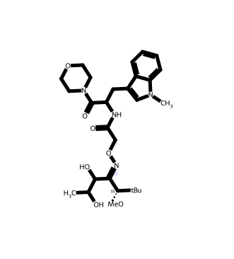 CO[C@H](/C(=N/OCC(=O)NC(Cc1cn(C)c2ccccc12)C(=O)N1CCOCC1)C(O)C(C)O)C(C)(C)C